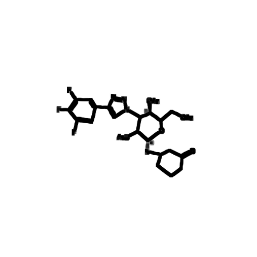 CC(=O)OCC1O[C@H](SC2CCCC(=O)C2)C(OC(C)=O)C(n2cc(-c3cc(F)c(F)c(F)c3)nn2)[C@H]1OC(C)=O